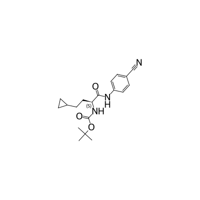 CC(C)(C)OC(=O)N[C@@H](CCC1CC1)C(=O)Nc1ccc(C#N)cc1